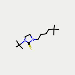 CC(C)(C)CCCCN1CCN(C(C)(C)C)C1=S